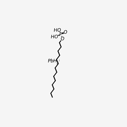 CCCCCCCCCCCCCCOP(=O)(O)O.[PbH2]